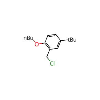 CCCCOc1ccc(C(C)(C)C)cc1CCl